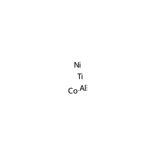 [Al].[Co].[Ni].[Ti]